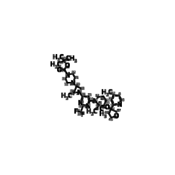 CO[C@]1(c2nccc(C)c2[C@H]2CCN(c3cc(N4C[C@@H](N5CCN(C(=O)OC(C)(C)C)CC5)[C@H]4C)nc(C(F)F)n3)[C@H](C)C2)CCOC1